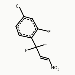 O=[N+]([O-])C=CC(F)(F)c1ccc(Cl)cc1F